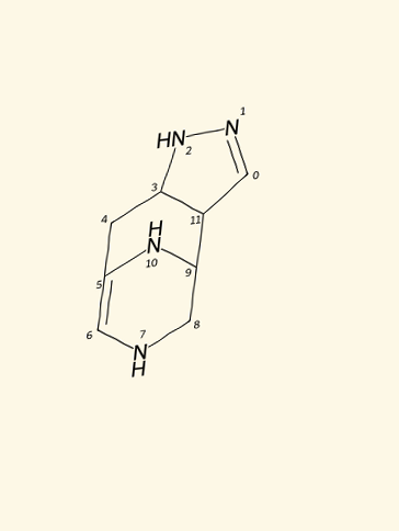 C1=NNC2CC3=CNCC(N3)C12